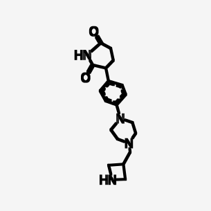 O=C1CCC(c2ccc(N3CCN(CC4CNC4)CC3)cc2)C(=O)N1